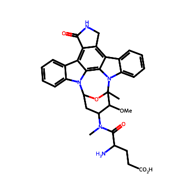 COC1C(N(C)C(=O)C(N)CCC(=O)O)CC2OC1(C)n1c3ccccc3c3c4c(c5c6ccccc6n2c5c31)C(=O)NC4